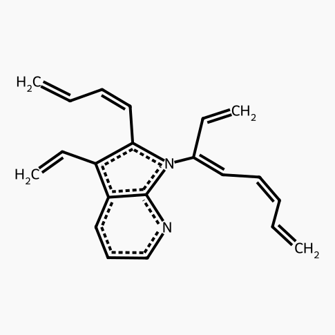 C=C/C=C\C=C(/C=C)n1c(/C=C\C=C)c(C=C)c2cccnc21